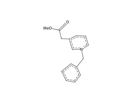 COC(=O)Cc1ccc[n+](Cc2ccccc2)c1